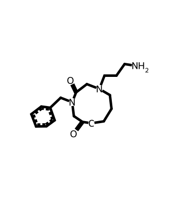 NCCCN1CCCCC(=O)CN(Cc2ccccc2)C(=O)C1